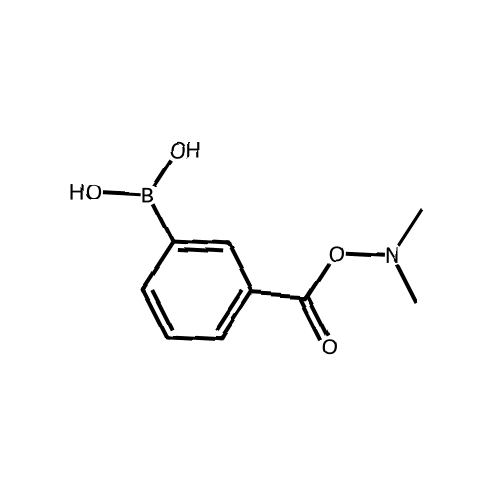 CN(C)OC(=O)c1cccc(B(O)O)c1